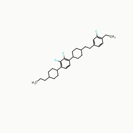 CCCC1CCC(c2ccc(C3CCC(CCc4ccc(CC)c(F)c4)CC3)c(F)c2F)CC1